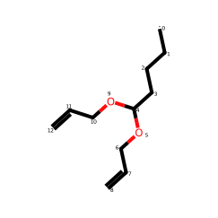 [CH2]CCCC(OCC=C)OCC=C